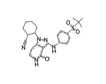 CC(C)(C)S(=O)(=O)c1ccc(Nc2nn(C3CCCCC3C#N)c3cc[nH]c(=O)c23)cc1